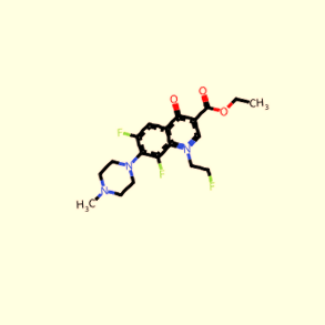 CCOC(=O)c1cn(CCF)c2c(F)c(N3CCN(C)CC3)c(F)cc2c1=O